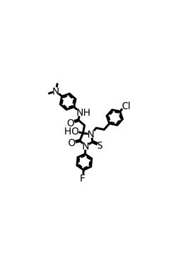 CN(C)c1ccc(NC(=O)CC2(O)C(=O)N(c3ccc(F)cc3)C(=S)N2CCc2ccc(Cl)cc2)cc1